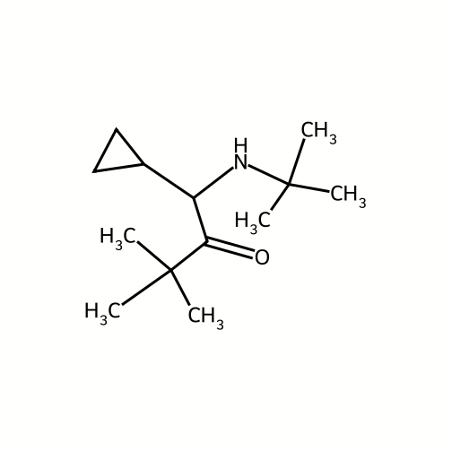 CC(C)(C)NC(C(=O)C(C)(C)C)C1CC1